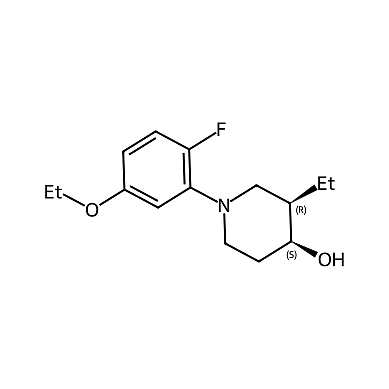 CCOc1ccc(F)c(N2CC[C@H](O)[C@H](CC)C2)c1